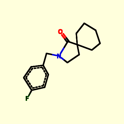 O=C1N(Cc2ccc(F)cc2)CCC12CCCCC2